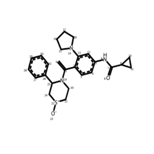 C=C(c1ccc(NC(=O)C2CC2)cc1N1CCCC1)N1CC[S+]([O-])CC1c1ccccc1